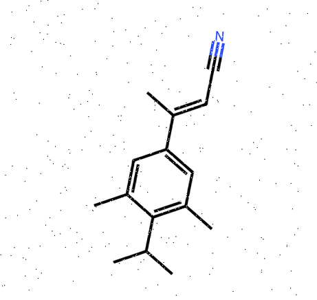 C/C(=C\C#N)c1cc(C)c(C(C)C)c(C)c1